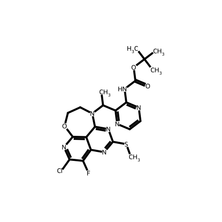 CSc1nc2c3c(nc(Cl)c(F)c3n1)OCCN2C(C)c1nccnc1NC(=O)OC(C)(C)C